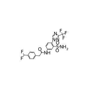 NS(=O)(=O)c1cc(NC(=O)Cc2ccc(C(F)F)cc2)ccc1-n1cnc(C(F)(F)F)n1